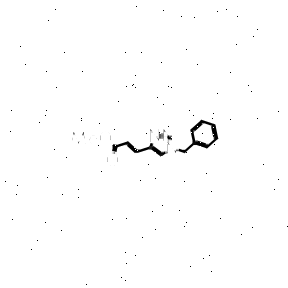 COC(=O)C=Cc1cn(Cc2ccccc2)nn1